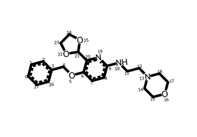 c1ccc(COc2ccc(NCCN3CCOCC3)nc2C2OCCO2)cc1